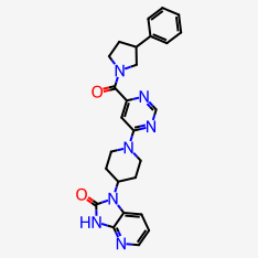 O=C(c1cc(N2CCC(n3c(=O)[nH]c4ncccc43)CC2)ncn1)N1CCC(c2ccccc2)C1